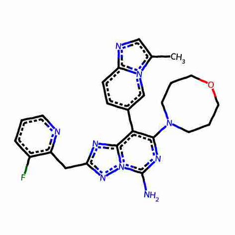 Cc1cnc2ccc(-c3c(N4CCCOCCC4)nc(N)n4nc(Cc5ncccc5F)nc34)cn12